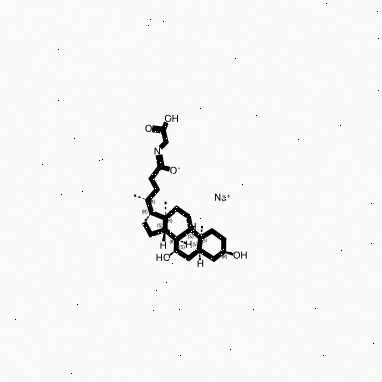 C[C@H](CCC([O-])=NCC(=O)O)[C@H]1CC[C@H]2[C@@H]3[C@@H](O)C[C@@H]4C[C@H](O)CC[C@]4(C)[C@H]3CC[C@]12C.[Na+]